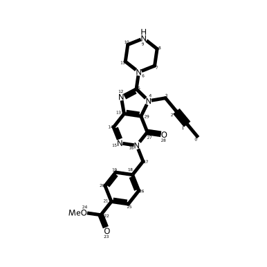 CC#CCn1c(N2CCNCC2)nc2cnn(Cc3ccc(C(=O)OC)cc3)c(=O)c21